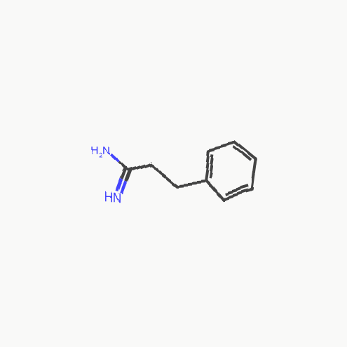 N=C(N)[CH]Cc1ccccc1